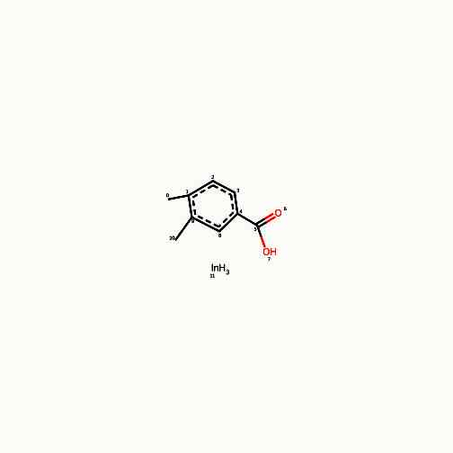 Cc1ccc(C(=O)O)cc1C.[InH3]